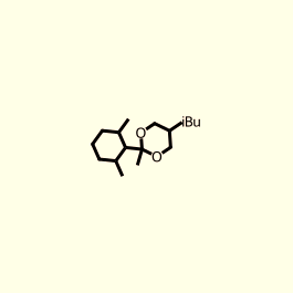 CCC(C)C1COC(C)(C2C(C)CCCC2C)OC1